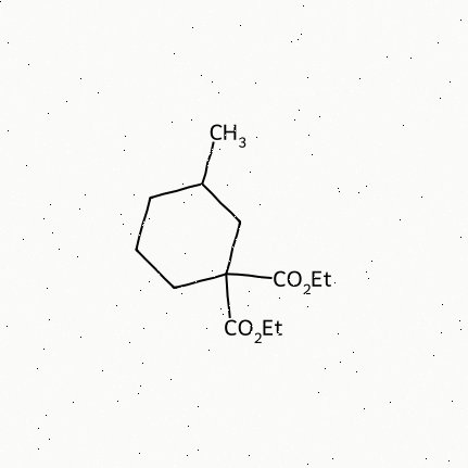 CCOC(=O)C1(C(=O)OCC)CCCC(C)C1